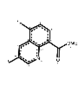 COC(=O)c1ccc(F)c2cc(C)cnc12